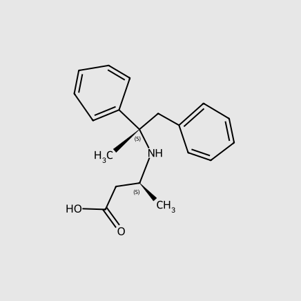 C[C@@H](CC(=O)O)N[C@@](C)(Cc1ccccc1)c1ccccc1